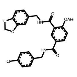 COc1ccc(C(=O)NCc2ccc(Cl)cc2)cc1C(=O)NCc1ccc2c(c1)OCO2